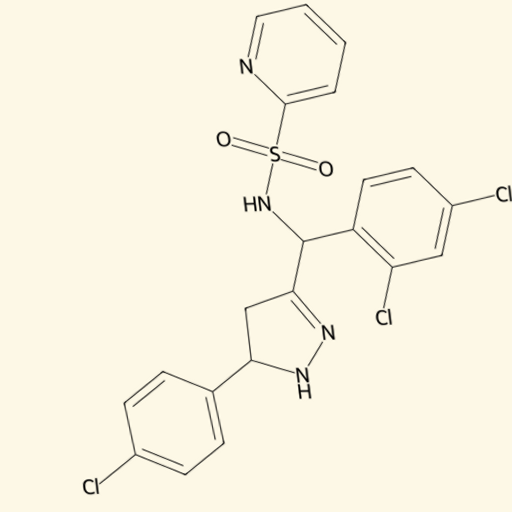 O=S(=O)(NC(C1=NNC(c2ccc(Cl)cc2)C1)c1ccc(Cl)cc1Cl)c1ccccn1